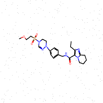 CCc1nc2n(c1C(=O)NCc1ccc(N3CCN(S(=O)(=O)CCOC)C=N3)cc1)CCCC2